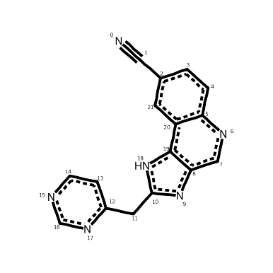 N#Cc1ccc2ncc3nc(Cc4ccncn4)[nH]c3c2c1